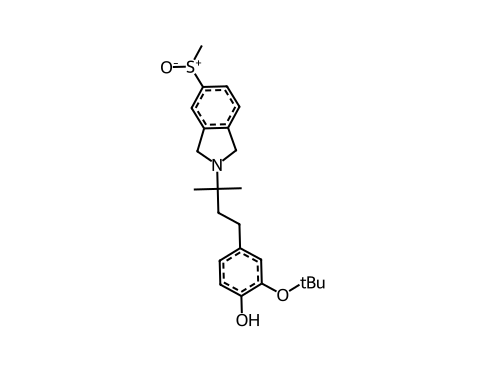 C[S+]([O-])c1ccc2c(c1)CN(C(C)(C)CCc1ccc(O)c(OC(C)(C)C)c1)C2